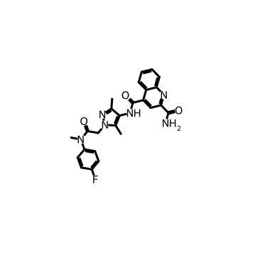 Cc1nn(CC(=O)N(C)c2ccc(F)cc2)c(C)c1NC(=O)c1cc(C(N)=O)nc2ccccc12